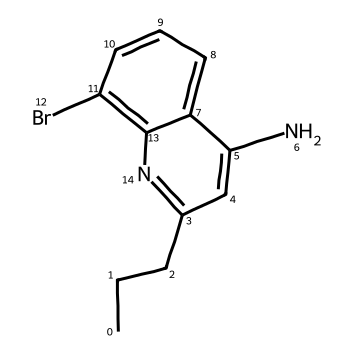 CCCc1cc(N)c2cccc(Br)c2n1